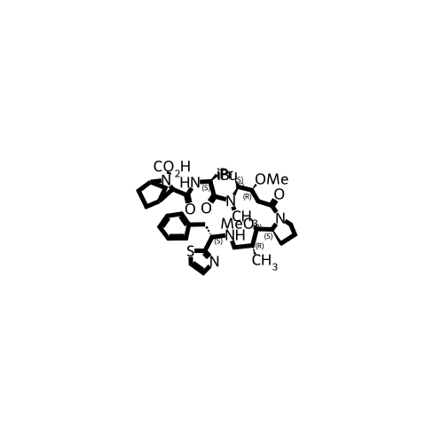 CC[C@H](C)[C@@H]([C@@H](CC(=O)N1CCC[C@H]1[C@H](OC)[C@H](C)CN[C@@H](Cc1ccccc1)c1nccs1)OC)N(C)C(=O)[C@@H](NC(=O)C1C2CCC(C2)N1C(=O)O)C(C)C